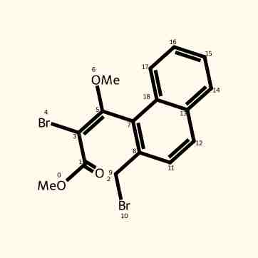 COC(=O)/C(Br)=C(/OC)c1c(CBr)ccc2ccccc12